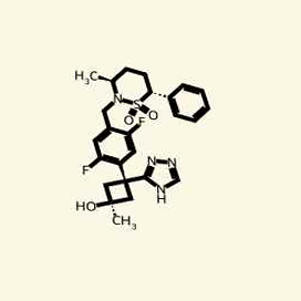 C[C@H]1CC[C@H](c2ccccc2)S(=O)(=O)N1Cc1cc(F)c([C@]2(c3nnc[nH]3)C[C@](C)(O)C2)cc1F